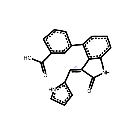 O=C1Nc2cccc(-c3cccc(C(=O)O)c3)c2/C1=C/c1ccc[nH]1